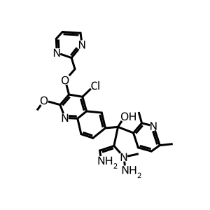 COc1nc2ccc(C(O)(/C(=C/N)N(C)N)c3ccc(C)nc3C)cc2c(Cl)c1OCc1ncccn1